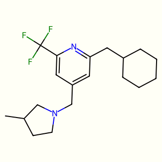 CC1CCN(Cc2cc(CC3CCCCC3)nc(C(F)(F)F)c2)C1